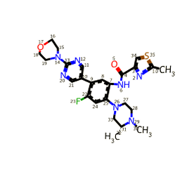 Cc1nc(C(=O)Nc2cc(-c3cnc(N4CCOCC4)nc3)c(F)cc2N2CCN(C)[C@H](C)C2)cs1